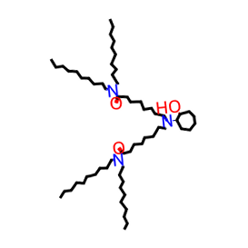 CCCCCCCCCCN(CCCCCCCCCC)C(=O)CCCCCCCN(CCCCCCCC(=O)N(CCCCCCCCCC)CCCCCCCCCC)[C@H]1CCCCC[C@@H]1O